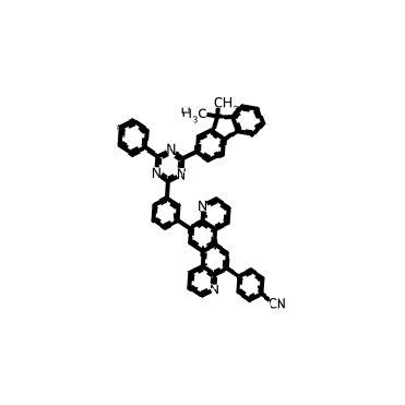 CC1(C)c2ccccc2-c2ccc(-c3nc(-c4ccccc4)nc(-c4cccc(-c5cc6c7cccnc7c(-c7ccc(C#N)cc7)cc6c6cccnc56)c4)n3)cc21